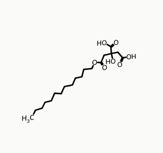 CCCCCCCCCCCCCOC(=O)CC(O)(CC(=O)O)C(=O)O